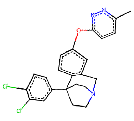 Cc1ccc(Oc2ccc3c(c2)CN2CCC3(c3ccc(Cl)c(Cl)c3)CC2)nn1